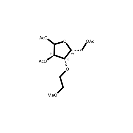 COCCO[C@H]1[C@@H](COC(C)=O)OC(OC(C)=O)[C@@H]1OC(C)=O